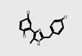 Cc1[nH]c(Cc2ccc(Cl)cc2)nc1-c1cc(Cl)ccc1Cl